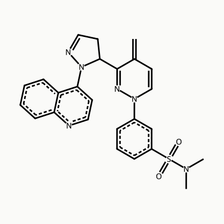 C=C1C=CN(c2cccc(S(=O)(=O)N(C)C)c2)N=C1C1CC=NN1c1ccnc2ccccc12